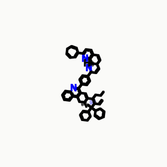 C=C/C(=C(\CCC)C1=Cc2c(-c3ccc(C4=N[C@@H]5c6nc(C7=CC=CCC=C7)ccc6C=CC5C=C4)cc3)nc3ccccc3c2C[C@@H]1C)C(C)(C1=CC=CCC1)C1C=CC=CC1